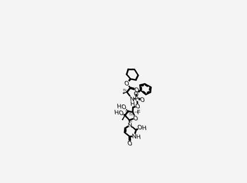 C[C@H](NP(=O)(OC[C@@]1(F)O[C@@H](N2C=CC(=O)NC2O)[C@](C)(O)[C@@H]1O)Oc1ccccc1)C(=O)OC1CCCCC1